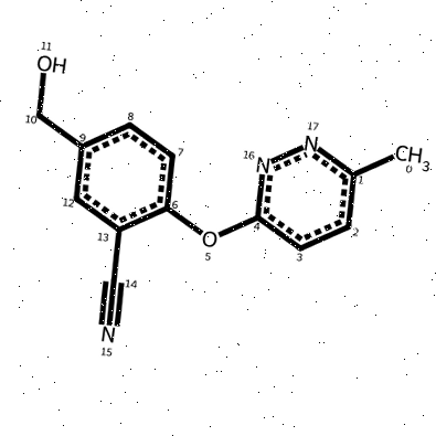 Cc1ccc(Oc2ccc(CO)cc2C#N)nn1